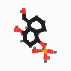 O=Cc1cccc2c(OP(=O)(O)O)ccc(O)c12